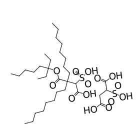 CCCCCCCCC(CCCCCCCC)(C(=O)OC(CC)(CC)CCCCC)C(C(=O)O)S(=O)(=O)O.O=C(O)CC(C(=O)O)S(=O)(=O)O